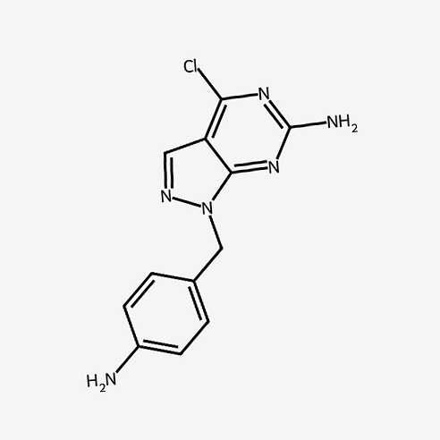 Nc1ccc(Cn2ncc3c(Cl)nc(N)nc32)cc1